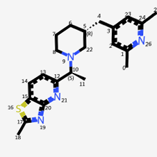 Cc1cc(C[C@H]2CCCN([C@@H](C)c3ccc4sc(C)nc4n3)C2)cc(C)n1